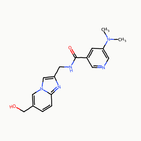 CN(C)c1cncc(C(=O)NCc2cn3cc(CO)ccc3n2)c1